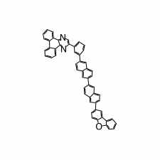 c1cc(-c2ccc3cc(-c4ccc5cc(-c6ccc7oc8ccccc8c7c6)ccc5c4)ccc3c2)cc(-c2cnc3c4ccccc4c4ccccc4c3n2)c1